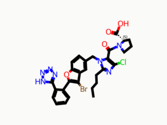 CCCCc1nc(Cl)c(C(=O)N2CCC[C@H]2C(=O)O)n1Cc1ccc2oc(-c3ccccc3-c3nnn[nH]3)c(Br)c2c1